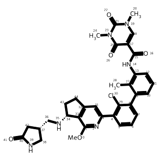 COc1nc(-c2cccc(-c3cccc(NC(=O)c4cn(C)c(=O)n(C)c4=O)c3C)c2Cl)cc2c1[C@H](NC[C@@H]1CNC(=O)C1)CC2